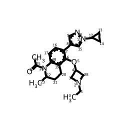 CCN1CC(Oc2c(-c3cnn(C4CC4)c3)ccc3c2CCC(C)N3C(C)=O)C1